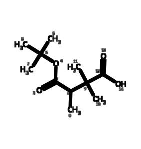 CC(C(=O)OC(C)(C)C)C(C)(C)C(=O)O